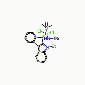 CCn1c2c(c3ccccc31)-c1ccccc1[CH]2[Ti]([Cl])([Cl])([NH]C(C)(C)C)[SiH](C)C